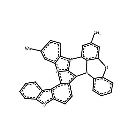 Cc1cc2c3c(c1)-n1c4ccc(C(C)(C)C)cc4n4c5c(ccc6oc7ccccc7c65)c(c14)B3c1ccccc1O2